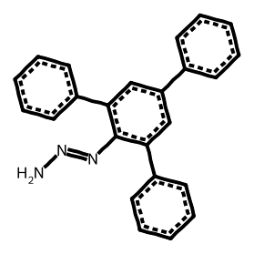 NN=Nc1c(-c2ccccc2)cc(-c2ccccc2)cc1-c1ccccc1